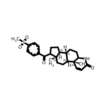 C[C@]12C=CC(=O)NC1CC[C@@H]1[C@H]2CC[C@]2(C)C(C(=O)c3ccc(S(C)(=O)=O)cc3)CC[C@@H]12